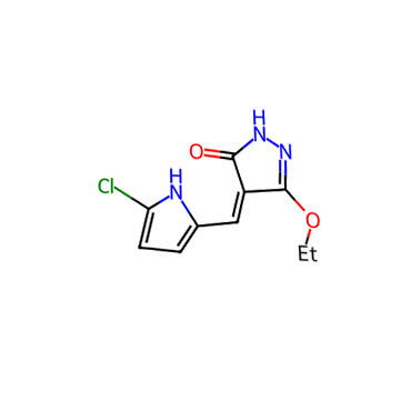 CCOC1=NNC(=O)C1=Cc1ccc(Cl)[nH]1